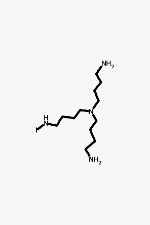 NCCCCN(CCCCN)CCCCNI